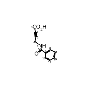 O=C(O)C#CCNC(=O)c1ccccc1